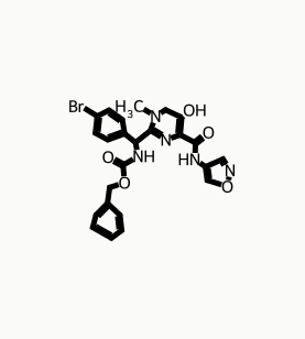 CN1CC(O)=C(C(=O)Nc2cnoc2)N=C1C(NC(=O)OCc1ccccc1)c1ccc(Br)cc1